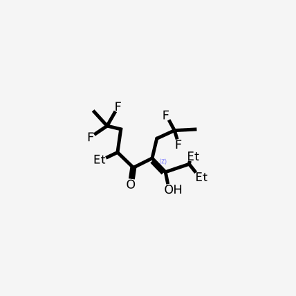 CCC(CC(C)(F)F)C(=O)/C(CC(C)(F)F)=C(\O)C(CC)CC